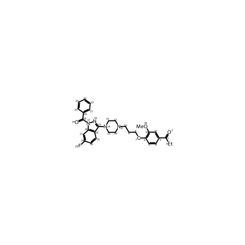 CCC(=O)c1ccc(OCCCN2CCN(c3nn(C(=O)c4ccccc4)c4cc(F)ccc34)CC2)c(OC)c1